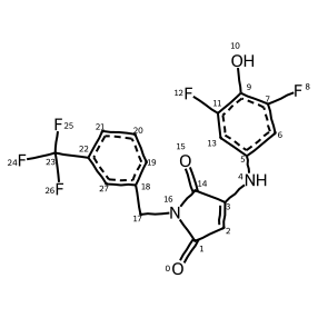 O=C1C=C(Nc2cc(F)c(O)c(F)c2)C(=O)N1Cc1cccc(C(F)(F)F)c1